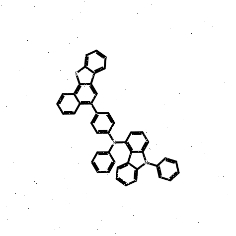 c1ccc(N(c2ccc(-c3cc4c5ccccc5sc4c4ccccc34)cc2)c2cccc3c2c2ccccc2n3-c2ccccc2)cc1